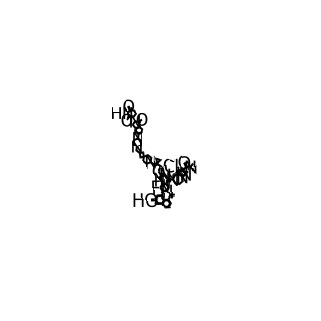 CCc1cccc2cc(O)cc(-c3ncc4c(N5CCCn6nc(C(=O)N(C)C)c(Cl)c6C5)nc(OCC5(CN6CCC7(CC6)CC(CN6CCN(c8ccc9c(c8)CN([C@H]8CCC(=O)NC8=O)C9=O)CC6)C7)CC5)nc4c3F)c12